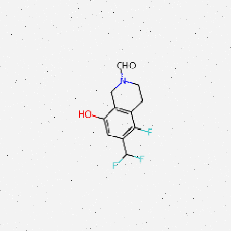 O=CN1CCc2c(F)c(C(F)F)cc(O)c2C1